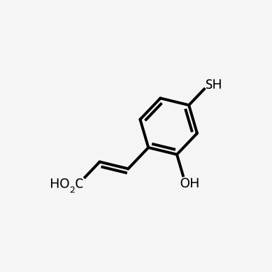 O=C(O)C=Cc1ccc(S)cc1O